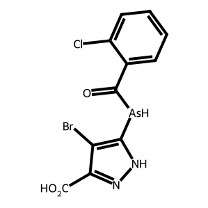 O=C([AsH]c1[nH]nc(C(=O)O)c1Br)c1ccccc1Cl